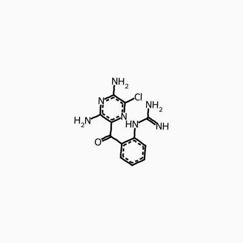 N=C(N)Nc1ccccc1C(=O)c1nc(Cl)c(N)nc1N